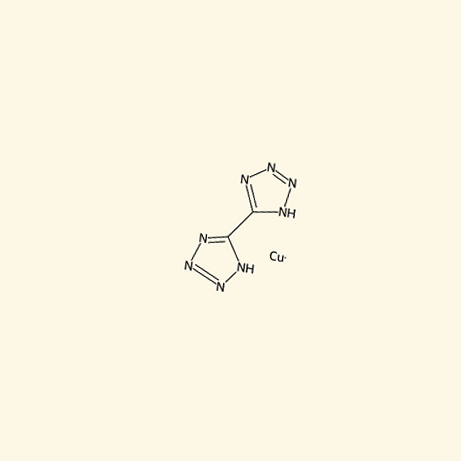 [Cu].n1n[nH]c(-c2nnn[nH]2)n1